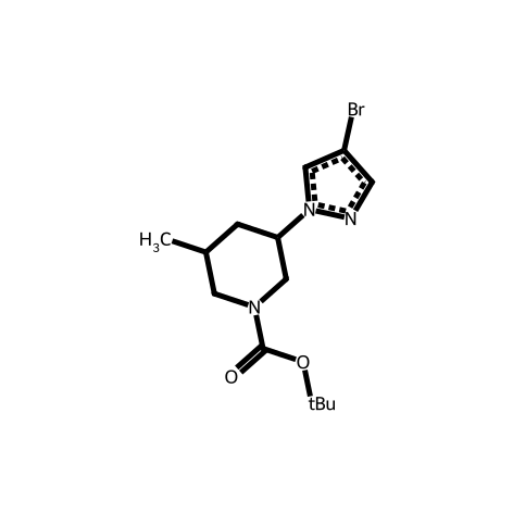 CC1CC(n2cc(Br)cn2)CN(C(=O)OC(C)(C)C)C1